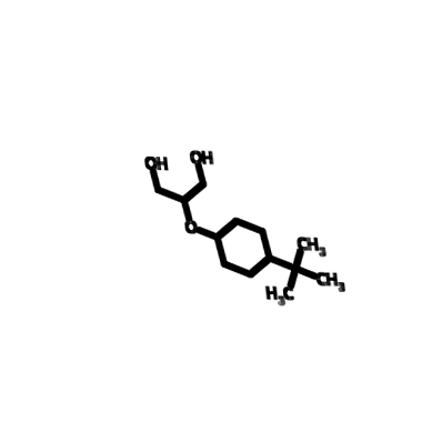 CC(C)(C)C1CCC(OC(CO)CO)CC1